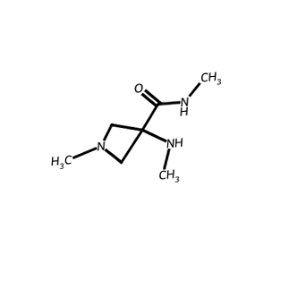 CNC(=O)C1(NC)CN(C)C1